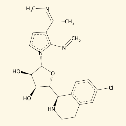 C=Nc1c(/C(C)=N\C)ccn1[C@@H]1O[C@H]([C@@H]2NCCc3cc(Cl)ccc32)[C@@H](O)[C@H]1O